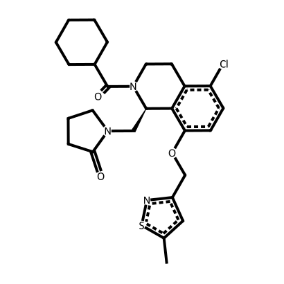 Cc1cc(COc2ccc(Cl)c3c2[C@@H](CN2CCCC2=O)N(C(=O)C2CCCCC2)CC3)ns1